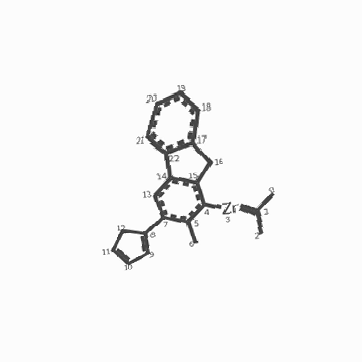 C[C](C)=[Zr][c]1c(C)c(C2=CC=CC2)cc2c1Cc1ccccc1-2